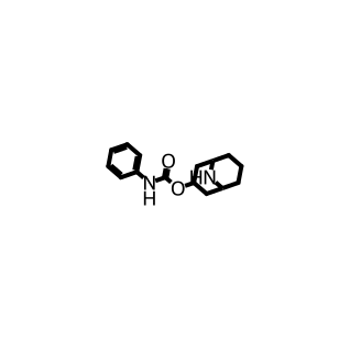 O=C(Nc1ccccc1)OC1CC2CCCC(C1)N2